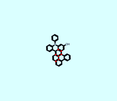 Oc1cc(N(c2ccccc2)c2ccccc2-c2ccccc2)cc(N(c2ccccc2)c2ccccc2-c2ccccc2)c1